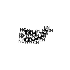 N#CC(=C1N=c2nc(C#N)c(C#N)nc2=N1)c1cc(C(C#N)=C2N=c3nc(C#N)c(C#N)nc3=N2)nc(C(C#N)=C2N=c3nc(C#N)c(C#N)nc3=N2)n1